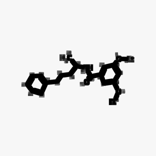 CCOc1cc(OCC)cc(C(=O)NC(C)CCCc2ccccc2)c1